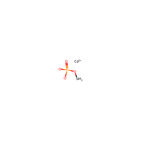 O=P([O-])([O-])O[SiH3].[Cd+2]